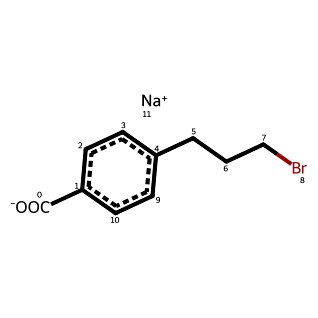 O=C([O-])c1ccc(CCCBr)cc1.[Na+]